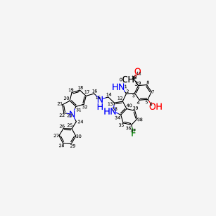 CNC(c1cc(O)ccc1C=O)c1c(CNCc2ccc3ccn(Cc4ccccc4)c3c2)[nH]c2cc(F)ccc12